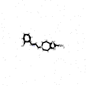 Nc1nc2c(s1)CCN(C/C=C/c1ccccc1F)CC2